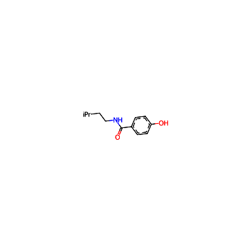 CC(C)CCNC(=O)c1ccc(O)cc1